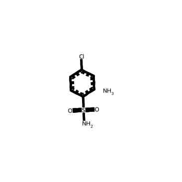 N.NS(=O)(=O)c1ccc(Cl)cc1